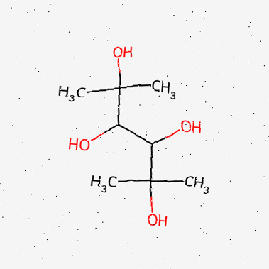 CC(C)(O)C(O)C(O)C(C)(C)O